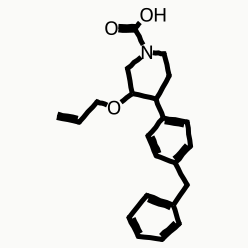 C=CCOC1CN(C(=O)O)CCC1c1ccc(Cc2ccccc2)cc1